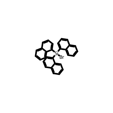 Br[Si](c1cccc2ccccc12)(c1cccc2ccccc12)c1cccc2ccccc12